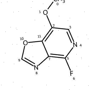 COc1cnc(F)c2ncoc12